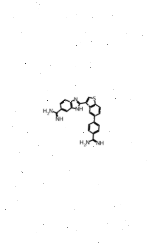 N=C(N)c1ccc(-c2ccc3scc(-c4nc5ccc(C(=N)N)cc5[nH]4)c3c2)cc1